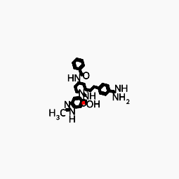 Cc1nc2cc([N+]3(NC(=O)O)CCC(NC(=O)c4ccccc4)CC3CCc3ccc(C(=N)N)cc3)ccc2[nH]1